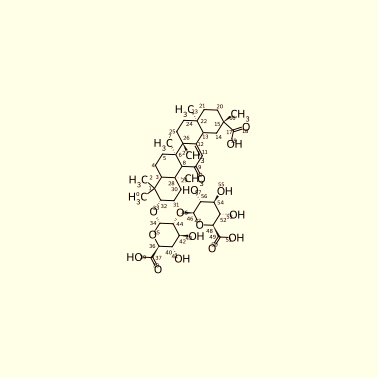 CC1(C)C2CC[C@]3(C)C(C(=O)C=C4C5C[C@@](C)(C(=O)O)CC[C@]5(C)CC[C@]43C)[C@@]2(C)CC[C@@H]1O[C@H]1O[C@H](C(=O)O)[C@@H](O)[C@H](O)[C@H]1O[C@@H]1O[C@H](C(=O)O)[C@@H](O)[C@H](O)[C@H]1O